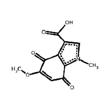 COC1=CC(=O)c2c(c(C(=O)O)cn2C)C1=O